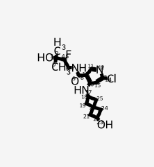 CC(C)(O)[C@H](F)CNC(=O)c1cnc(Cl)cc1NC1CC2(CC(O)C2)C1